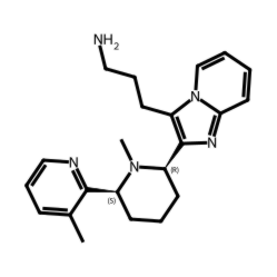 Cc1cccnc1[C@@H]1CCC[C@H](c2nc3ccccn3c2CCCN)N1C